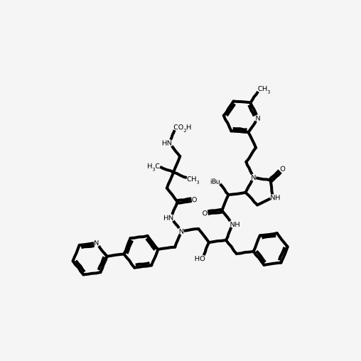 CCC(C)C(C(=O)NC(Cc1ccccc1)C(O)CN(Cc1ccc(-c2ccccn2)cc1)NC(=O)CC(C)(C)CNC(=O)O)C1CNC(=O)N1CCc1cccc(C)n1